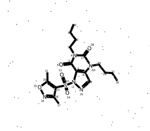 CCCCn1c(=O)c2c(cnn2S(=O)(=O)c2c(C)noc2C)n(CCCC)c1=O